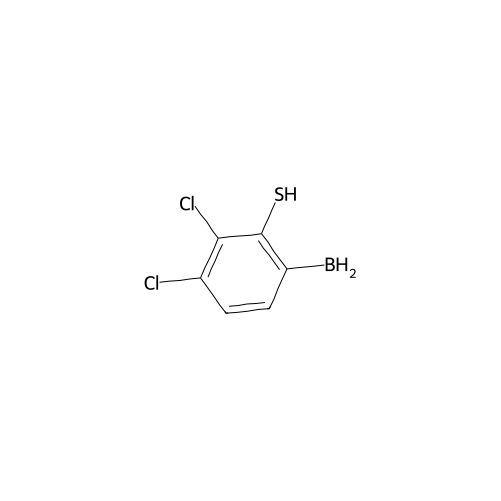 Bc1ccc(Cl)c(Cl)c1S